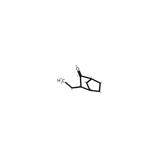 CCC1C(=O)C2CCC1C2